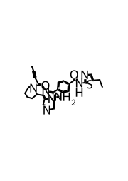 CC#CC(=O)N1CCCCC1C1=C2C=NC=C[N+]2(N)C(c2ccc(C(=O)Nc3ncc(CC)s3)cc2)=N1